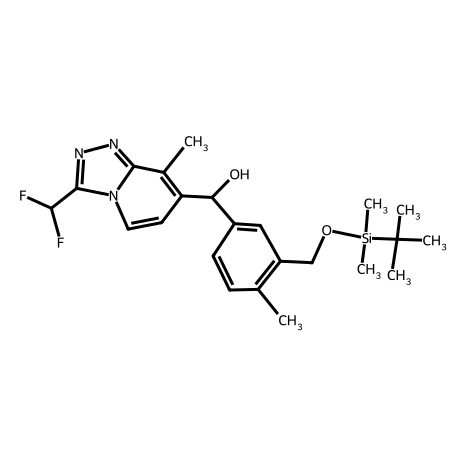 Cc1ccc(C(O)c2ccn3c(C(F)F)nnc3c2C)cc1CO[Si](C)(C)C(C)(C)C